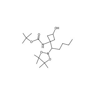 CCCCC(B1OC(C)(C)C(C)(C)O1)C1(NC(=O)OC(C)(C)C)CC(O)C1